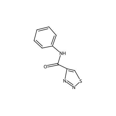 O=C(Nc1ccccc1)c1csnn1